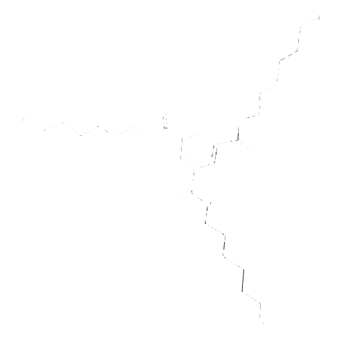 CC(C)CCCCCCOC(=O)c1cc(C(=O)OCCCCCCC(C)C)cc(C(=O)OCCCCCCC(C)C)c1